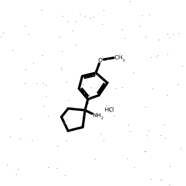 COc1ccc(C2(N)CCCC2)cc1.Cl